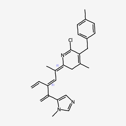 C=C/C(=C\C(C)=C1/CC(C)=C(Cc2ccc(C)cc2)C(Cl)=N1)C(=C)c1cncn1C